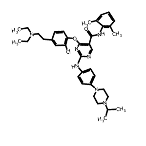 CCN(CC)CCc1ccc(Oc2nc(Nc3ccc(N4CCN(C(C)C)CC4)cc3)ncc2C(=O)Nc2c(C)cccc2C)c(Cl)c1